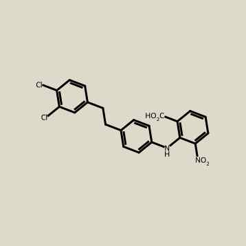 O=C(O)c1cccc([N+](=O)[O-])c1Nc1ccc(CCc2ccc(Cl)c(Cl)c2)cc1